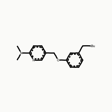 CCC(C)Cc1cccc(OCc2ccc(N(C)C)nc2)c1